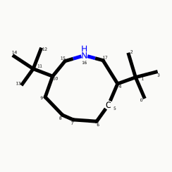 CC(C)(C)C1CCCCCC(C(C)(C)C)CNC1